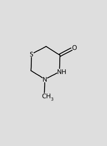 CN1CSCC(=O)N1